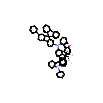 CC1(C)c2ccccc2-c2ccc(N(c3ccc4c(c3)C3(c5ccccc5-c5ccccc53)c3cc(-c5ccccc5)ccc3-4)c3cccc4oc5ccc(-c6ccc7c(c6)c6ccccc6n7-c6ccccc6)cc5c34)cc21